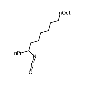 CCCCCCCCCCCCCCC(CCC)N=C=O